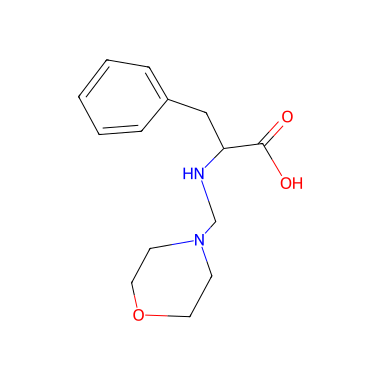 O=C(O)C(Cc1ccccc1)NCN1CCOCC1